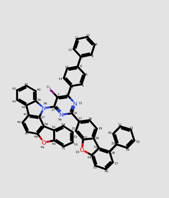 Ic1c(-c2ccc(-c3ccccc3)cc2)nc(-c2ccc3c(c2)oc2cccc(-c4ccccc4)c23)nc1-n1c2ccccc2c2ccc3oc4ccccc4c3c21